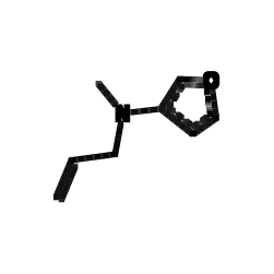 C=CCN(C)c1ccoc1